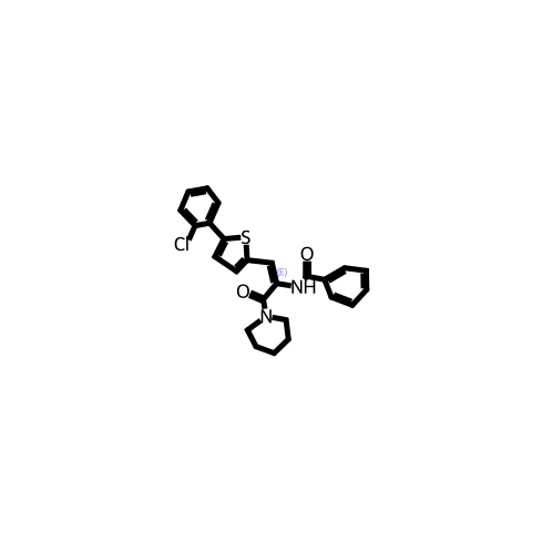 O=C(N/C(=C/c1ccc(-c2ccccc2Cl)s1)C(=O)N1CCCCC1)c1ccccc1